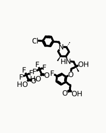 C[C@@H]1C[C@@H](NC[C@](C)(O)COc2cc(F)ccc2CC(=O)O)[C@@H](C)CN1Cc1ccc(Cl)cc1.O=C(O)C(F)(F)F.O=C(O)C(F)(F)F